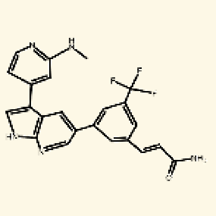 CNc1cc(-c2c[nH]c3ncc(-c4cc(/C=C/C(N)=O)cc(C(F)(F)F)c4)cc23)ccn1